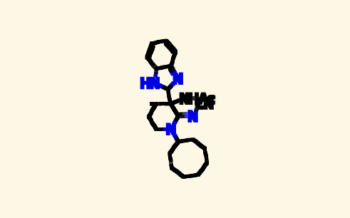 CC(=O)NC1(C2N=C3C=CC=CC3N2)[CH]CCN(C2CCCCCCC2)C1=NC#N